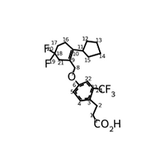 O=C(O)CCc1ccc(OCC2=C(C3CCCC3)CCC(F)(F)C2)cc1C(F)(F)F